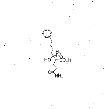 NC(=O)CCC(C(=O)O)C(O)(CCCCc1ccccc1)[PH2]=O